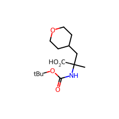 CC(C)(C)OC(=O)NC(C)(CC1CCOCC1)C(=O)O